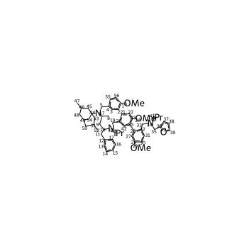 COc1ccc(CN(C(C)CC(Cc2ccccc2)N(Cc2ccc(OC)c(-c3cc(OC)ccc3CN(Cc3ccco3)C(C)C)c2)C(C)C)C23CC(C)CC(CC(C)C2)C3)cc1